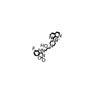 O=c1nc(NCC(O)CN2CC[N+]([O-])(c3nccc4ccncc34)CC2)c2cc(F)ccc2o1